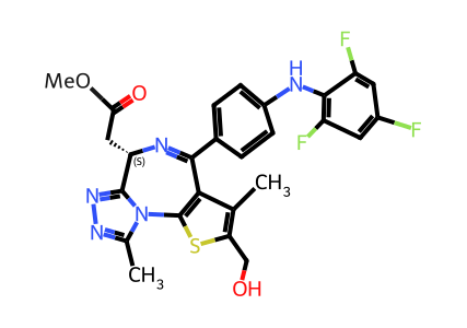 COC(=O)C[C@@H]1N=C(c2ccc(Nc3c(F)cc(F)cc3F)cc2)c2c(sc(CO)c2C)-n2c(C)nnc21